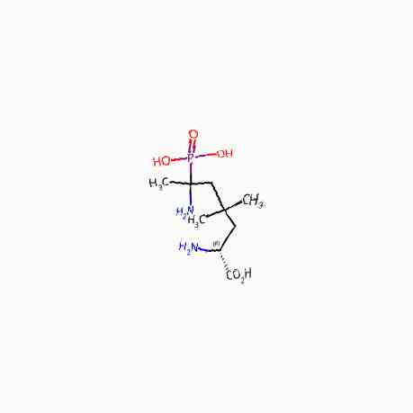 CC(C)(C[C@@H](N)C(=O)O)CC(C)(N)P(=O)(O)O